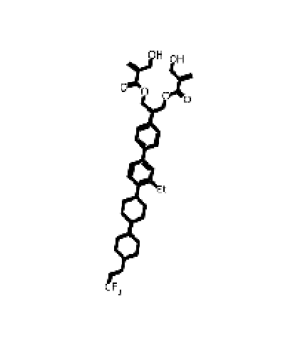 C=C(CO)C(=O)OCC(COC(=O)C(=C)CO)c1ccc(-c2ccc(C3CCC(C4CCC(CCC(F)(F)F)CC4)CC3)c(CC)c2)cc1